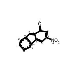 O=C1C=C([N+](=O)[O-])C=C2C1=Cc1ccccc12